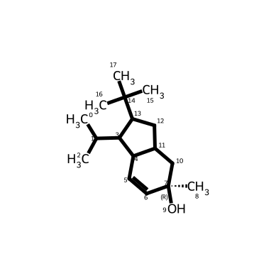 CC(C)C1C2C=C[C@](C)(O)CC2CC1C(C)(C)C